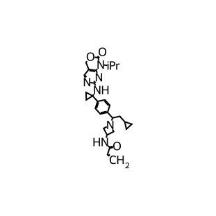 C=CC(=O)NC1CN(C(CC2CC2)c2ccc(C3(Nc4ncc5c(n4)N(C(C)C)C(=O)OC5)CC3)cc2)C1